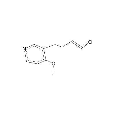 COc1ccncc1CCC=CCl